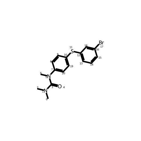 CN(C)C(=O)N(C)c1ccc(Sc2cccc(Br)c2)cc1